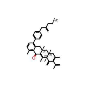 C=C(CCC(C)=O)Cc1ccc(-c2ccc(C)c3c2C[C@]2(C)C[C@]4(C)CC(C)=C(C(=C)C)C(=C)[C@]4(C)C(C)=C2C3=O)cc1